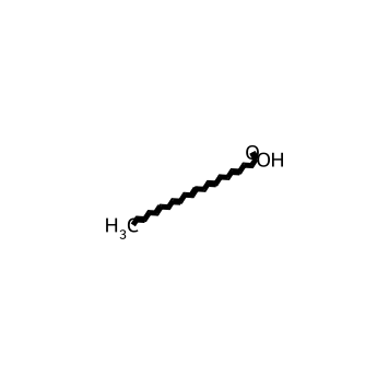 C/C=C/C/C=C/C/C=C/C/C=C/C/C=C/CC/C=C/CCC(=O)O